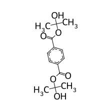 CC(C)(O)OC(=O)c1ccc(C(=O)OC(C)(C)O)cc1